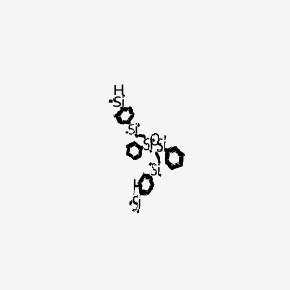 C[SiH](C)c1ccc([Si](C)(C)CC[Si](C)(O[Si](C)(CC[Si](C)(C)c2ccc([SiH](C)C)cc2)c2ccccc2)c2ccccc2)cc1